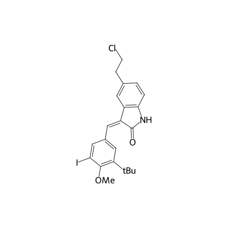 COc1c(I)cc(C=C2C(=O)Nc3ccc(CCCl)cc32)cc1C(C)(C)C